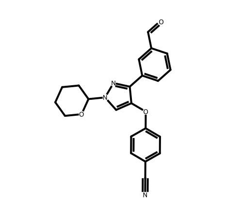 N#Cc1ccc(Oc2cn(C3CCCCO3)nc2-c2cccc(C=O)c2)cc1